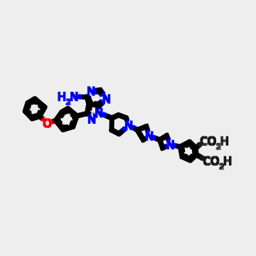 Nc1ncnc2c1c(-c1ccc(Oc3ccccc3)cc1)nn2C1CCN(C2CN(C3CN(c4ccc(C(=O)O)c(C(=O)O)c4)C3)C2)CC1